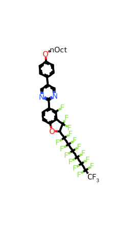 CCCCCCCCOc1ccc(-c2cnc(-c3ccc4c(c3F)C(F)(F)C(C(F)(F)C(F)(F)C(F)(F)C(F)(F)C(F)(F)C(F)(F)C(F)(F)F)O4)nc2)cc1